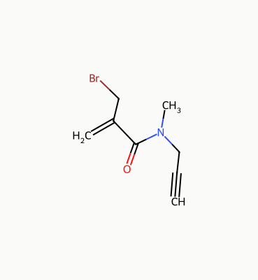 C#CCN(C)C(=O)C(=C)CBr